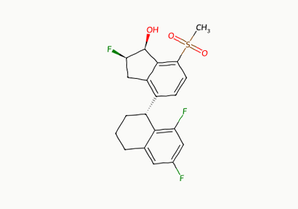 CS(=O)(=O)c1ccc([C@H]2CCCc3cc(F)cc(F)c32)c2c1[C@H](O)[C@H](F)C2